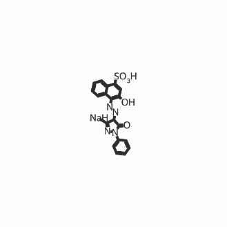 CC1=NN(c2ccccc2)C(=O)C1N=Nc1c(O)cc(S(=O)(=O)O)c2ccccc12.[NaH]